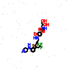 COc1cc(S(=O)(=O)NCC(O)CO)ccc1NCC#Cc1sc2c(NC3CCN(C)CC3)cccc2c1CC(F)(F)F